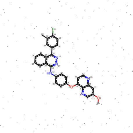 COc1cnc2c(Oc3ccc(Nc4nnc(-c5ccc(F)c(C)c5)c5ccccc45)cc3)ccnc2c1